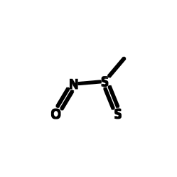 CS(=S)N=O